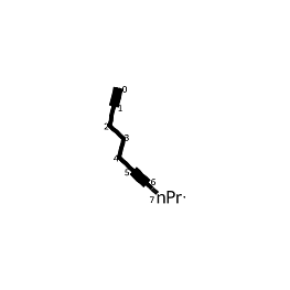 C#CCCCC#C[CH]CC